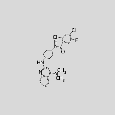 CN(C)c1cc(N[C@H]2CC[C@@H](NC(=O)c3cc(F)c(Cl)cc3Cl)CC2)nc2ccccc12